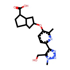 Cc1nc(-c2nnn(C)c2CO)ccc1OC1CC2CCC(C(=O)O)C2C1